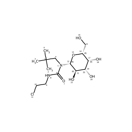 CC(C)(C)CN(C(=O)NCCCl)[C@@H]1O[C@H](CO)[C@H](O)[C@H](O)[C@H]1O